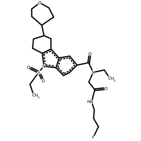 CCN(CC(=O)NCCCF)C(=O)c1ccc2c(c1)c1c(n2S(=O)(=O)CC)CCC(C2CCOCC2)C1